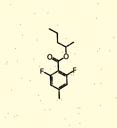 CCCC(C)OC(=O)c1c(F)cc(C)cc1F